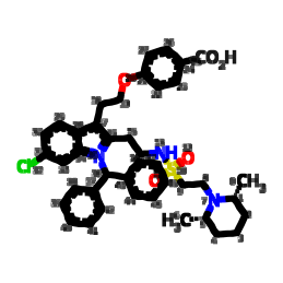 C[C@@H]1CCC[C@H](C)N1CCS(=O)(=O)NCCc1c(CCOc2ccc(C(=O)O)cc2)c2ccc(Cl)cc2n1C(c1ccccc1)c1ccccc1